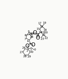 CCC1(OC(=O)C2CC3CC(OC(=O)C4(CC(C)(C)C)CC4(C)C)C2C3)CCCCC1